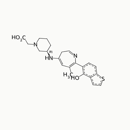 CC1=C(c2ccc3sccc3c2O)N=CCC(N[C@@H]2CCCN(CC(=O)O)C2)=C1